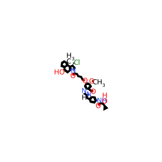 COc1cc2c(cc1OCCCCC(=O)N1C[C@@H](CCl)c3c1cc(O)c1cccc(C)c31)N=C[C@@H]1Cc3ccc(NC(=O)[C@H](O)C4CC4)cc3N1C2=O